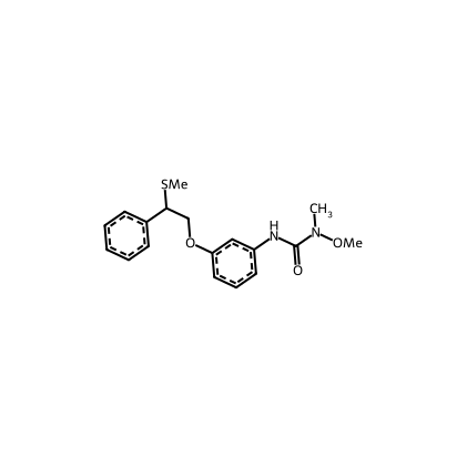 CON(C)C(=O)Nc1cccc(OCC(SC)c2ccccc2)c1